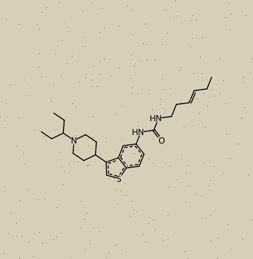 CCC=CCCNC(=O)Nc1ccc2scc(C3CCN(C(CC)CC)CC3)c2c1